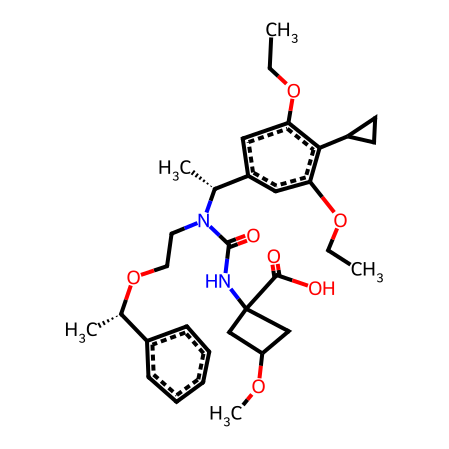 CCOc1cc([C@@H](C)N(CCO[C@@H](C)c2ccccc2)C(=O)NC2(C(=O)O)CC(OC)C2)cc(OCC)c1C1CC1